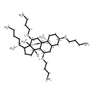 C[C@H](CCCN)C1CC[C@H]2C3[C@H](OCCCN)CC4C[C@H](OCCCN)CC[C@]4(C)[C@H]3C[C@H](OCCCN)C12C